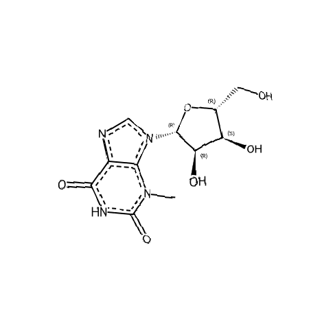 Cn1c(=O)[nH]c(=O)c2ncn([C@@H]3O[C@H](CO)[C@@H](O)[C@H]3O)c21